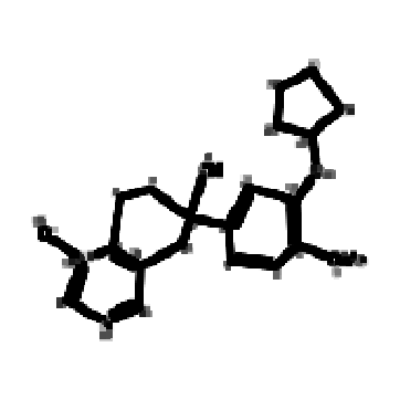 COc1ccc(C2(C#N)CCc3c(cnc[n+]3[O-])C2)cc1OC1CCCC1